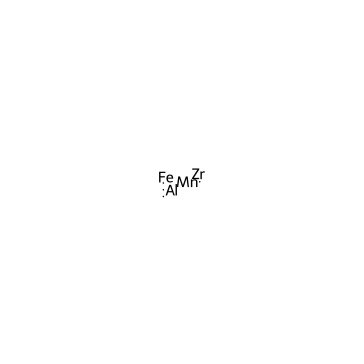 [Al].[Fe].[Mn].[Zr]